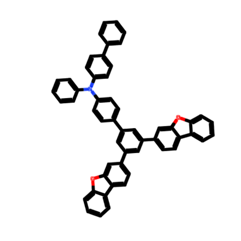 c1ccc(-c2ccc(N(c3ccccc3)c3ccc(-c4cc(-c5ccc6c(c5)oc5ccccc56)cc(-c5ccc6c(c5)oc5ccccc56)c4)cc3)cc2)cc1